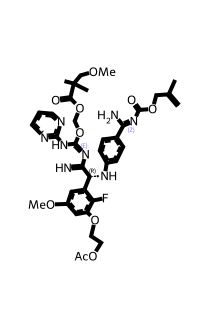 C=C(C)COC(=O)/N=C(\N)c1ccc(N[C@@H](C(=N)/N=C(\Nc2ncccn2)OCOC(=O)C(C)(C)COC)c2cc(OC)cc(OCCOC(C)=O)c2F)cc1